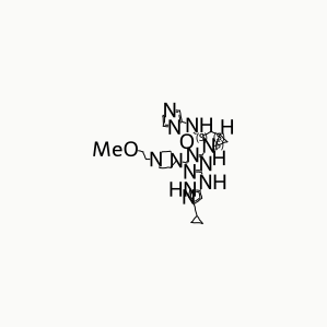 COCCN1CCN(c2nc(Nc3cc(C4CC4)n[nH]3)nc(N3[C@H](C(=O)Nc4cnccn4)C[C@@H]4C[C@@H]43)n2)CC1